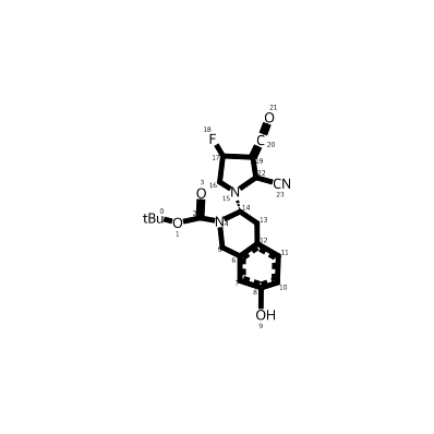 CC(C)(C)OC(=O)N1Cc2cc(O)ccc2C[C@H]1N1CC(F)C(=C=O)C1C#N